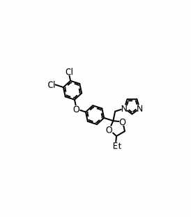 CCC1COC(Cn2ccnc2)(c2ccc(Oc3ccc(Cl)c(Cl)c3)cc2)O1